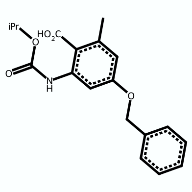 Cc1cc(OCc2ccccc2)cc(NC(=O)OC(C)C)c1C(=O)O